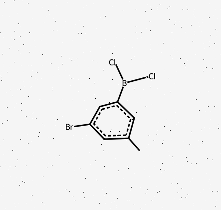 Cc1cc(Br)cc(B(Cl)Cl)c1